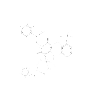 N[C@@H](Cn1c(=O)c2c(n(Cc3c(F)cccc3C(F)(F)F)c1=O)COC21CCN(Cc2cncs2)CC1)c1ccccc1